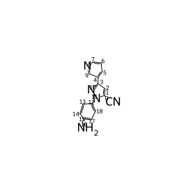 N#Cc1cc(-c2cccnc2)nn1-c1ccc(N)cc1